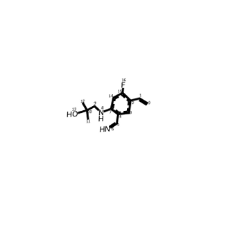 C=Cc1cc(C=N)c(NCC(C)(C)O)cc1F